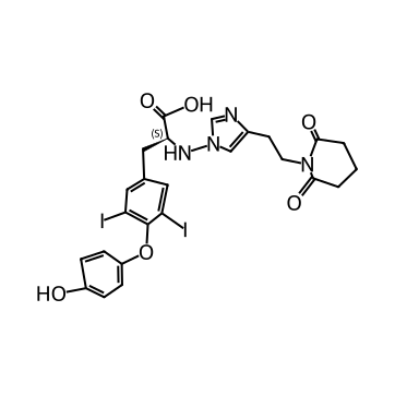 O=C(O)[C@H](Cc1cc(I)c(Oc2ccc(O)cc2)c(I)c1)Nn1cnc(CCN2C(=O)CCCC2=O)c1